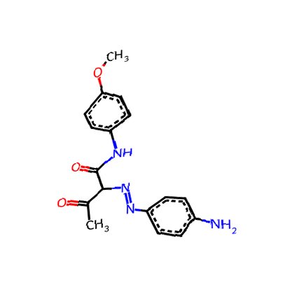 COc1ccc(NC(=O)C(N=Nc2ccc(N)cc2)C(C)=O)cc1